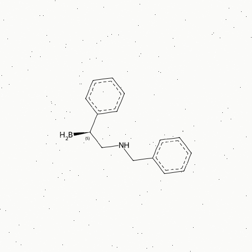 B[C@H](CNCc1ccccc1)c1ccccc1